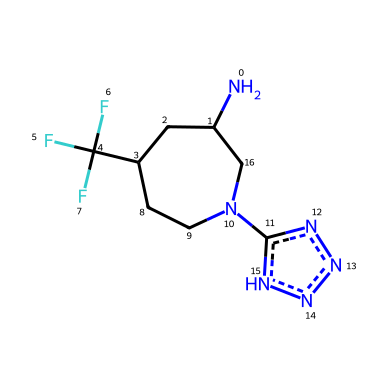 NC1CC(C(F)(F)F)CCN(c2nnn[nH]2)C1